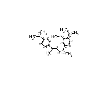 CC(C)c1ccc(C(C)CCC(C)c2ccc(C(C)C)c(CO)c2)nc1